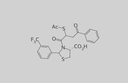 CC(=O)SC(CC(=O)c1ccccc1)C(=O)N1C(c2cccc(C(F)(F)F)c2)SC[C@H]1C(=O)O